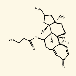 CC1C[C@H]2[C@@H]3[C@H](OC(=O)CCO)CC4=CC(=O)C=C[C@]4(C)[C@H]3CC[C@]2(C)C1